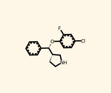 Fc1cc(Cl)ccc1O[C@@H](c1ccccc1)[C@H]1CCNC1